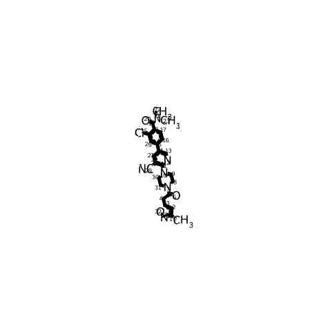 Cc1cc(CC(=O)N2CCN(c3ncc(-c4ccc(C(=O)N(C)C)c(Cl)c4)cc3C#N)CC2)on1